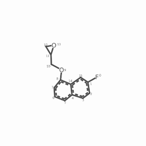 Fc1ccc2cccc(OCC3CO3)c2c1